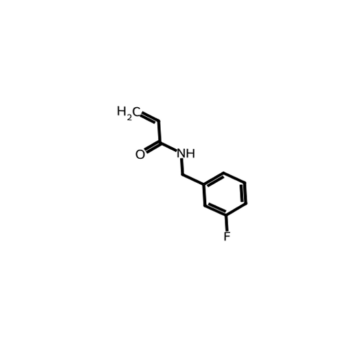 C=CC(=O)NCc1cccc(F)c1